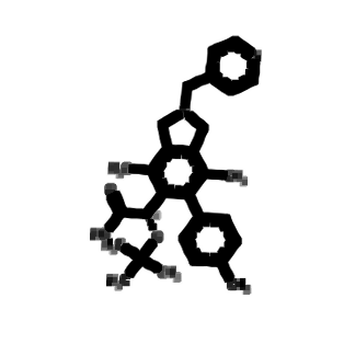 Cc1ccc(-c2c(C)c3c(c(C)c2[C@H](OC(C)(C)C)C(=O)O)CN(Cc2ccncc2)C3)cc1